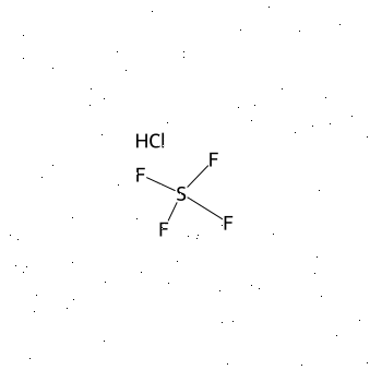 Cl.FS(F)(F)F